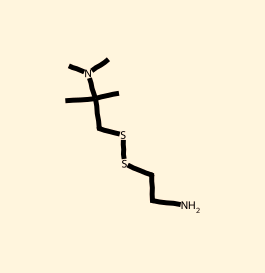 CN(C)C(C)(C)CSSCCN